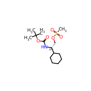 CC(C)(C)OC(=O)N[C@H](COS(C)(=O)=O)C1CCCCC1